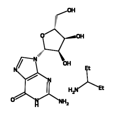 CCC(N)CC.Nc1nc2c(ncn2[C@@H]2O[C@H](CO)[C@@H](O)[C@H]2O)c(=O)[nH]1